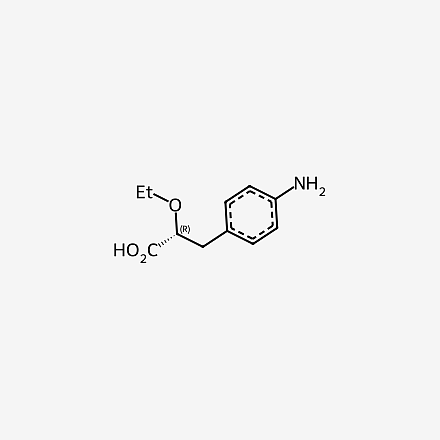 CCO[C@H](Cc1ccc(N)cc1)C(=O)O